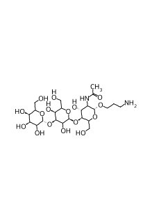 CC(=O)NC1[C@H](OCCCN)OC(CO)[C@@H](O[C@@H]2OC(CO)[C@H](O)[C@H](O[C@H]3OC(CO)[C@H](O)[C@H](O)C3O)C2O)[C@@H]1O